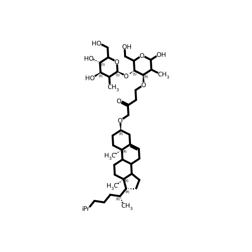 CC(C)CCC[C@@H](C)[C@H]1CCC2C3CC=C4C[C@H](OCC(=O)CCO[C@@H]5C(C)C(O)OC(CO)[C@H]5O[C@@H]5OC(CO)[C@@H](O)[C@H](O)C5C)CC[C@]4(C)C3CC[C@@]21C